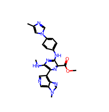 CNc1nc(Nc2ccc(-n3cnc(C)c3)cc2)c(C(=O)OC)nc1-c1cncc2c1ncn2C